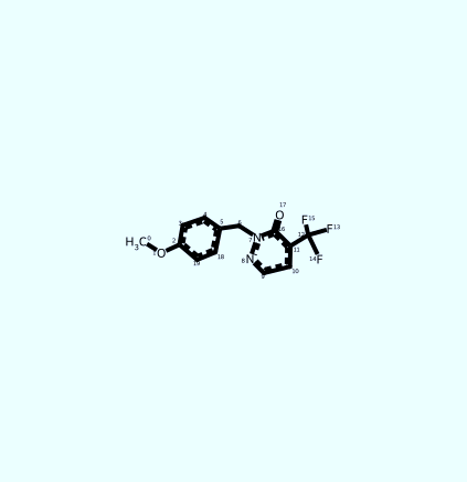 COc1ccc(Cn2nccc(C(F)(F)F)c2=O)cc1